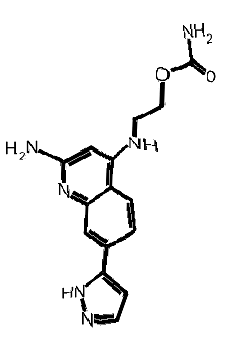 NC(=O)OCCNc1cc(N)nc2cc(-c3ccn[nH]3)ccc12